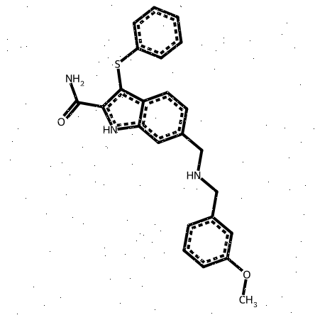 COc1cccc(CNCc2ccc3c(Sc4ccccc4)c(C(N)=O)[nH]c3c2)c1